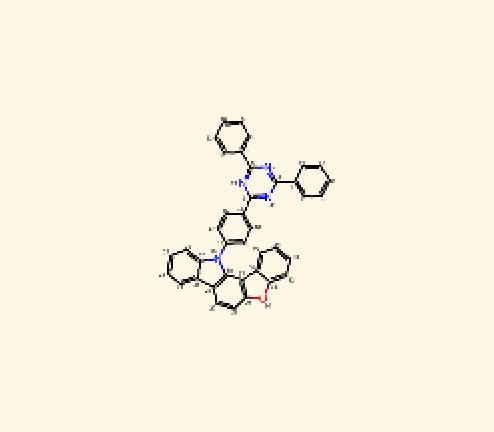 c1ccc(-c2nc(-c3ccccc3)nc(-c3ccc(-n4c5ccccc5c5ccc6oc7ccccc7c6c54)cc3)n2)cc1